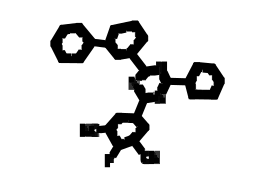 N#Cc1cc(-c2nc(-c3ccccc3)nc(-c3cccc(-c4ccccc4)c3)n2)cc(C#N)c1F